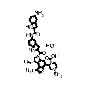 Cc1csc2c(C3CN(C)CCN3C(=O)O)cc3c(c12)[C@H](CCl)CN3C(=O)c1cc2cc(NC(=O)c3cc4cc(N)ccc4[nH]3)ccc2[nH]1.Cl